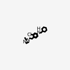 Cc1nccn1CCc1ccc(NCC2CCCCC2)cc1Cl